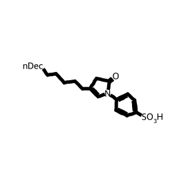 CCCCCCCCCCCCCCCC1=CN(c2ccc(S(=O)(=O)O)cc2)C(=O)C1